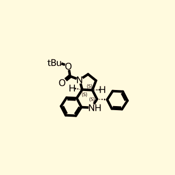 CC(C)(C)OC(=O)N1CC[C@@H]2[C@H]1c1ccccc1N[C@H]2C1C=CC=CC1